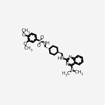 COc1ccc(S(=O)(=O)NC[C@H]2CC[C@H](CNc3nc(N(C)C)c4ccccc4n3)CC2)cc1OC